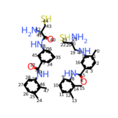 Cc1ccc(C(=O)Nc2cccc(C)c2C)cc1NC[C@@H](N)CS.Cc1cccc(NC(=O)c2cccc(NC(=O)[C@@H](N)CS)c2)c1C